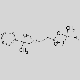 CC(C)(C)OC(=O)CCOCC(C)(C)c1ccccc1